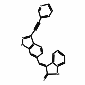 O=C1Nc2ccccc2/C1=C\c1ccc2c(C#Cc3cccnc3)n[nH]c2c1